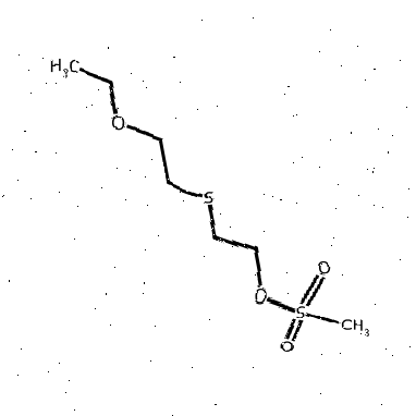 CCOCCSCCOS(C)(=O)=O